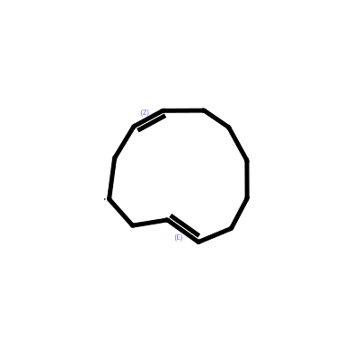 [CH]1C/C=C\CCCCC/C=C/C1